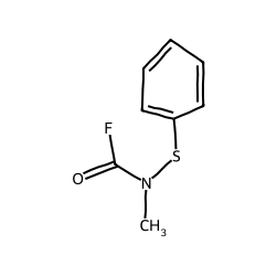 CN(Sc1ccccc1)C(=O)F